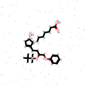 CC(C)(C)[Si](C)(C)OC(CCC1=CC[C@H](O)[C@@H]1CCCCCCC(=O)O)COc1ccccc1